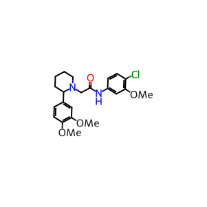 COc1cc(NC(=O)CN2CCCCC2c2ccc(OC)c(OC)c2)ccc1Cl